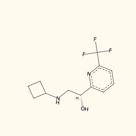 O[C@H](CNC1CCC1)c1cccc(C(F)(F)F)n1